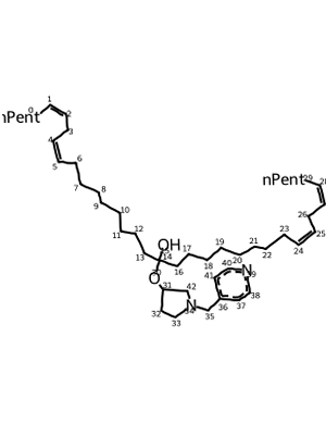 CCCCC/C=C\C/C=C\CCCCCCCCC(O)(CCCCCCCC/C=C\C/C=C\CCCCC)OC1CCN(Cc2ccncc2)C1